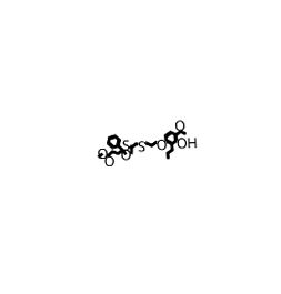 CCCc1c(OCCCSCC2COC(CCC(=O)OC)(c3ccccc3)S2)ccc(C(C)=O)c1O